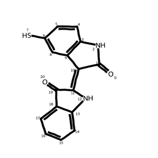 O=C1Nc2ccc(S)cc2/C1=C1/Nc2ccccc2C1=O